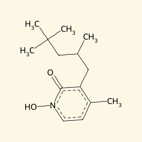 Cc1ccn(O)c(=O)c1CC(C)CC(C)(C)C